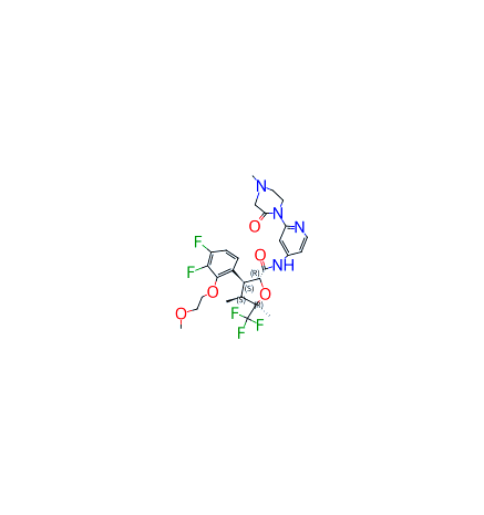 COCCOc1c([C@H]2[C@H](C(=O)Nc3ccnc(N4CCN(C)CC4=O)c3)O[C@@](C)(C(F)(F)F)[C@H]2C)ccc(F)c1F